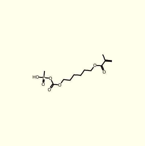 C=C(C)C(=O)OCCCCCCOC(=O)OP(C)(=O)O